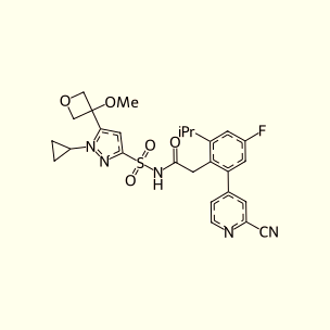 COC1(c2cc(S(=O)(=O)NC(=O)Cc3c(-c4ccnc(C#N)c4)cc(F)cc3C(C)C)nn2C2CC2)COC1